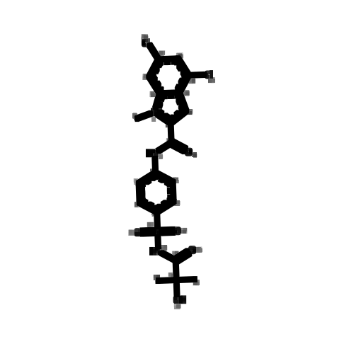 Cn1c(C(=O)Nc2ccc(S(=O)(=O)NC(=O)C(C)(C)O)cc2)cc2c(Cl)cc(Cl)cc21